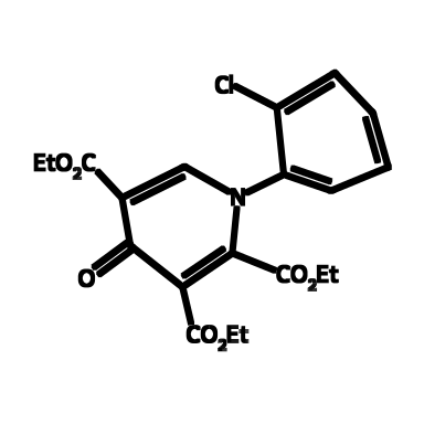 CCOC(=O)c1cn(-c2ccccc2Cl)c(C(=O)OCC)c(C(=O)OCC)c1=O